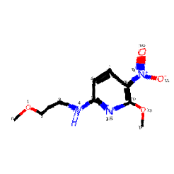 COCCNc1ccc([N+](=O)[O-])c(OC)n1